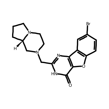 O=c1[nH]c(CN2CCN3CCC[C@H]3C2)nc2c1oc1ccc(Br)cc12